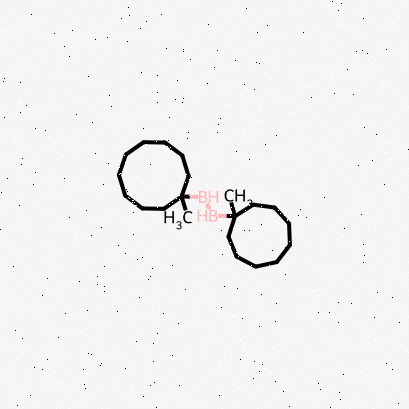 CC1(BBC2(C)CCCCCCCC2)CCCCCCCCC1